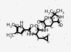 Cc1cc(C(=O)NC(CC2CC2)C(=O)NC(CC2CC(C)(C)NC2=O)C(=O)O)[nH]c1C